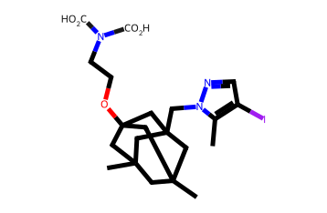 Cc1c(I)cnn1CC12CC3(C)CC(C)(C1)CC(OCCN(C(=O)O)C(=O)O)(C3)C2